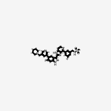 CS(=O)(=O)NCc1cc(F)cc(-c2nccc3[nH]c(-c4n[nH]c5cc(F)c(-c6cncc(CN7CCCCC7)c6)cc45)nc23)c1